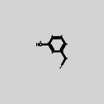 Oc1cccc(CI)c1